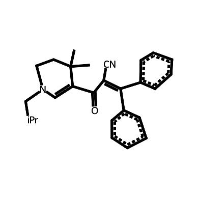 CC(C)CN1C=C(C(=O)C(C#N)=C(c2ccccc2)c2ccccc2)C(C)(C)CC1